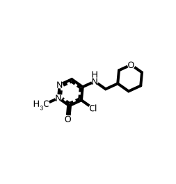 Cn1ncc(NCC2CCCOC2)c(Cl)c1=O